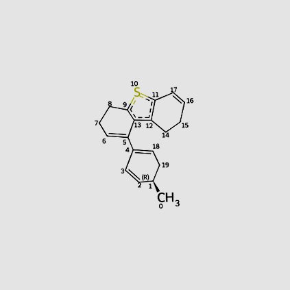 C[C@H]1C=CC(C2=CCCc3sc4c(c32)CCC=C4)=CC1